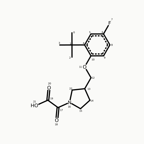 CC(C)(C)c1cc(F)ccc1OCC1CCN(C(=O)C(=O)O)C1